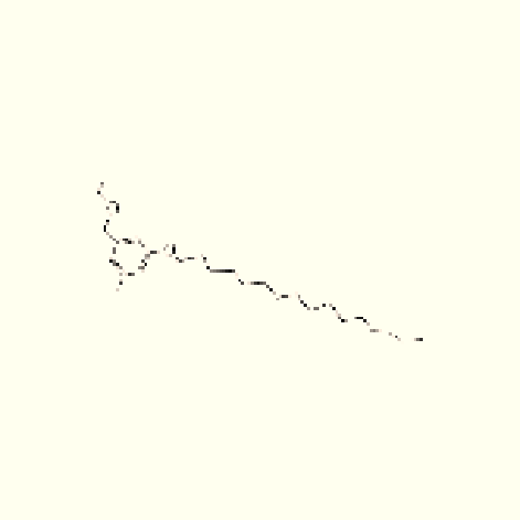 CCCCCCCCCCCCCCCCOc1cc(C)cc(COCC)c1